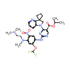 CC(C)OC(=O)c1cnc(Nc2cc([N+](=O)[O-])c(N(C)CCN(C)C)cc2OC(F)F)nc1N1CC2(CCC2)c2ncccc21